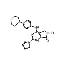 CC(C)N1Cc2c(Nc3ccc(C4CCCCC4)cc3)nc(-n3ccnc3)nc2C1=O